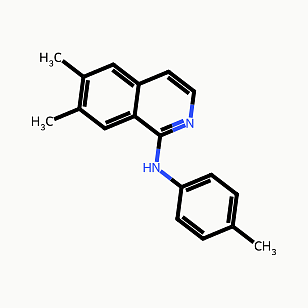 Cc1ccc(Nc2nccc3cc(C)c(C)cc23)cc1